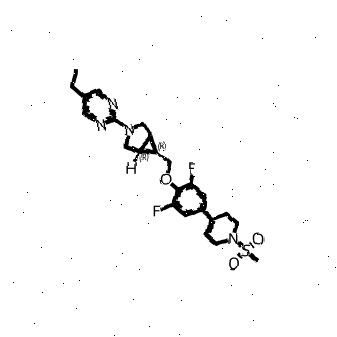 CCc1cnc(N2CC3[C@@H](COc4c(F)cc(C5=CCN(S(C)(=O)=O)CC5)cc4F)[C@@H]3C2)nc1